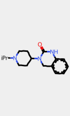 CC(C)N1CCC(N2Cc3ccccc3NC2=O)CC1